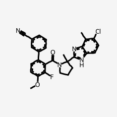 COc1ccc(-c2cccc(C#N)c2)c(C(=O)N2CCCC2(C)c2nc3c(C)c(Cl)ccc3[nH]2)c1F